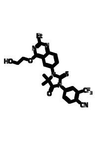 CCc1nc(OCCO)c2cc(N3C(=S)N(c4ccc(C#N)c(C(F)(F)F)c4)C(=O)C3(C)C)ccc2n1